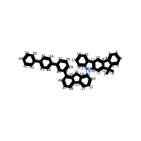 CC1(C)c2ccccc2-c2cc3c4ccccc4n(-c4cccc5c4Cc4c(-c6cccc(-c7ccc(-c8ccccc8)cc7)c6)cccc4-5)c3cc21